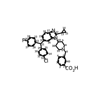 O=C(O)c1cccc(CN2CCC(n3c(C4CC4)nc4ccc(C(c5ccc(F)cc5)c5ccc(Cl)cc5)cc43)CC2)c1